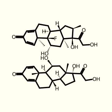 C[C@@H]1C[C@H]2[C@@H]3CCC4=CC(=O)C=C[C@]4(C)[C@@]3(F)[C@@H](O)C[C@]2(C)[C@@]1(O)C(=O)CO.C[C@]12C=CC(=O)C=C1CC[C@@H]1[C@@H]2[C@@H](O)C[C@@]2(C)[C@H]1CC[C@]2(O)C(=O)CO